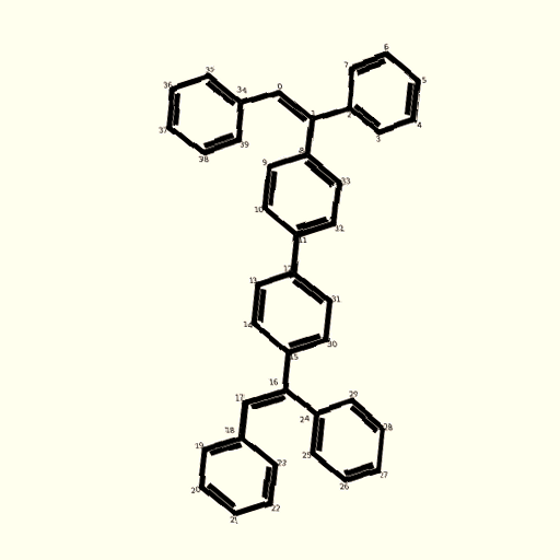 C(=C(c1ccccc1)c1ccc(-c2ccc(C(=Cc3ccccc3)c3ccccc3)cc2)cc1)c1ccccc1